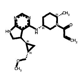 C=CC(=O)N1C[C@H](Nc2ncnc3c2C([C@H]2C[C@@H]2COC)CN3)CC[C@@H]1C